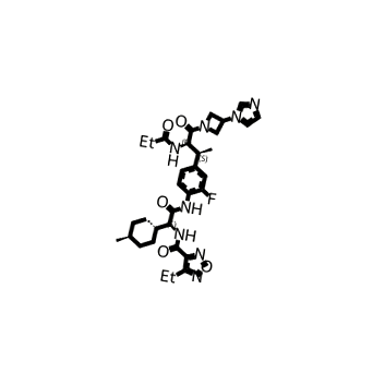 CCC(=O)N[C@@H](C(=O)N1CC(n2ccnc2)C1)[C@@H](C)c1ccc(NC(=O)[C@@H](NC(=O)c2nonc2CC)[C@H]2CC[C@H](C)CC2)c(F)c1